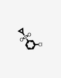 O=S(=O)(c1c[c]cc(Cl)c1)C1CC1